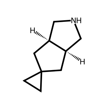 C1NC[C@H]2CC3(CC3)C[C@@H]12